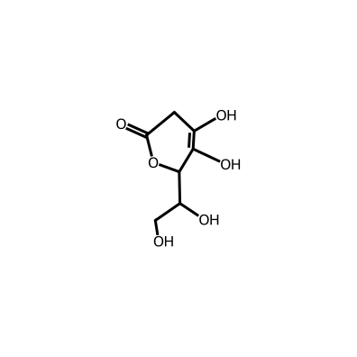 O=C1CC(O)=C(O)C(C(O)CO)O1